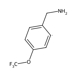 NCc1[c]cc(OC(F)(F)F)cc1